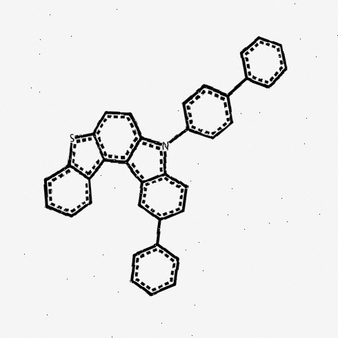 c1ccc(-c2ccc(-n3c4ccc(-c5ccccc5)cc4c4c5c(ccc43)sc3ccccc35)cc2)cc1